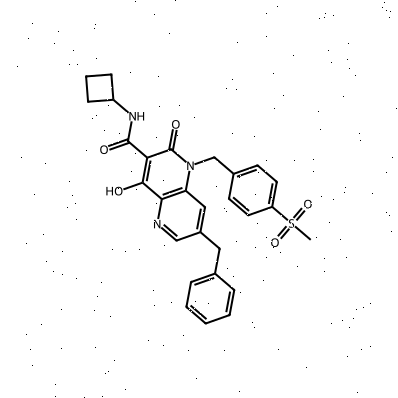 CS(=O)(=O)c1ccc(Cn2c(=O)c(C(=O)NC3CCC3)c(O)c3ncc(Cc4ccccc4)cc32)cc1